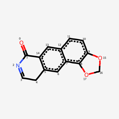 O=C1N=CCc2cc3c4c(ccc3cc21)OCO4